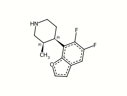 C[C@H]1CNCC[C@H]1c1c(F)c(F)cc2ccoc12